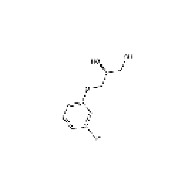 CC(C)c1cccc(OC[C@@H](O)CO)c1